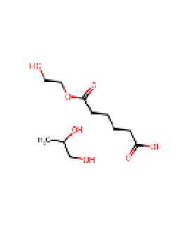 CC(O)CO.O=C(O)CCCCC(=O)OCCO